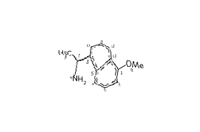 COc1cccc2c(C(C)N)cccc12